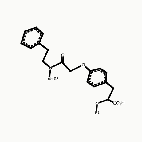 CCCCCCN(CCc1ccccc1)C(=O)COc1ccc(CC(OCC)C(=O)O)cc1